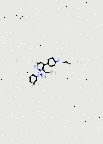 CCOC(=O)c1cc(-c2ccc(NCCCOC)cc2)c2c(C(C)C)nn(-c3cccc(C(F)(F)F)c3)c2n1